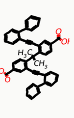 CC(C)(c1ccc(C(=O)O)cc1C#Cc1ccccc1-c1ccccc1)c1ccc(C(=O)O)cc1C#Cc1ccccc1-c1ccccc1